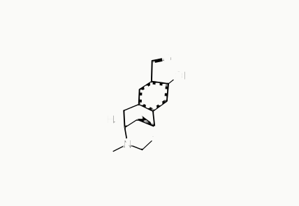 CN1CC[C@@]23CCCCC2[C@@H]1Cc1cc(C=O)c(O)cc13